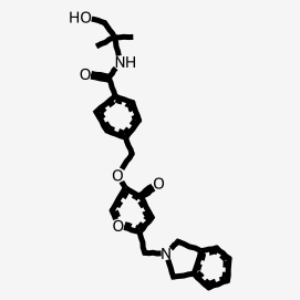 CC(C)(CO)NC(=O)c1ccc(COc2coc(CN3Cc4ccccc4C3)cc2=O)cc1